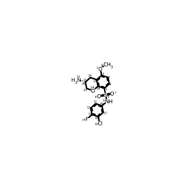 COc1ccc(S(=O)(=O)Nc2ccc(F)c(Cl)c2)c2c1C[C@@H](N)CO2